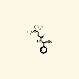 CCCCC(NC(=O)CC[C@H](N)C(=O)O)c1ccccc1